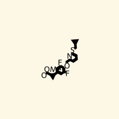 COC(=O)C1CC1c1cc(F)c(OCc2cccc(SCC3CC3)n2)c(F)c1